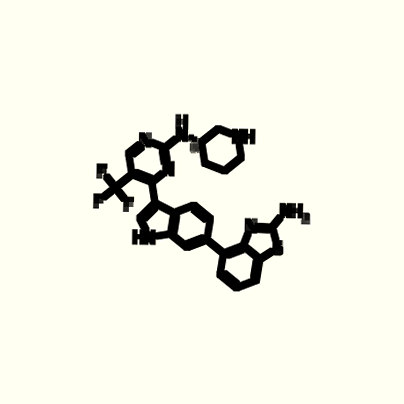 Nc1nc2c(-c3ccc4c(-c5nc(N[C@H]6CCCNC6)ncc5C(F)(F)F)c[nH]c4c3)cccc2s1